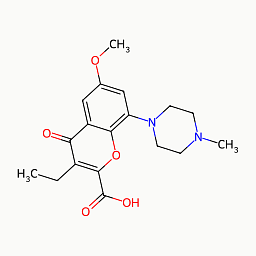 CCc1c(C(=O)O)oc2c(N3CCN(C)CC3)cc(OC)cc2c1=O